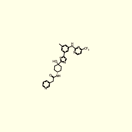 Cc1cc(Nc2nccc(C(F)(F)F)n2)cc(-c2cnc([C@]3(O)CC[C@H](NC(=O)Cc4cccnc4)CC3)s2)c1